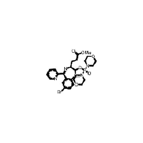 COC(=O)CCC1N=C(c2ccccn2)c2cc(Br)ccc2NC1OP(=O)(N1CCOCC1)N1CCOCC1